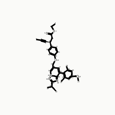 CC#C[C@@H](CC(=O)OCC)c1ccc(OCc2cc(-c3c(C)cc(OC)cc3C)c3nc(C(C)C)nn3c2)cc1